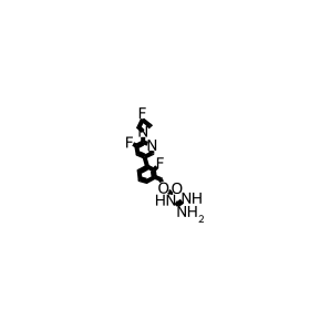 N=C(N)NC(=O)OCc1cccc(-c2cnc(N3CC(F)C3)c(F)c2)c1F